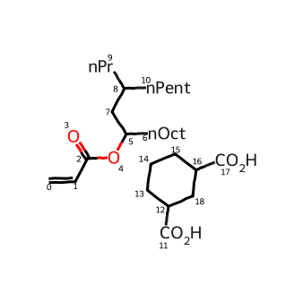 C=CC(=O)OC(CCCCCCCC)CC(CCC)CCCCC.O=C(O)C1CCCC(C(=O)O)C1